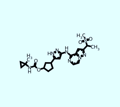 CC(c1cc2c(Nc3cc(C4CCC(OC(=O)NC5(C)CC5)C4)[nH]n3)nccn2n1)S(C)(=O)=O